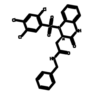 O=C(C[C@@H]1C(=O)Nc2ccccc2N1S(=O)(=O)c1cc(Cl)c(Cl)cc1Cl)NCc1ccccc1